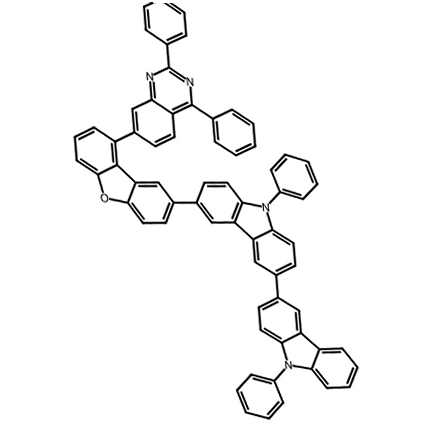 c1ccc(-c2nc(-c3ccccc3)c3ccc(-c4cccc5oc6ccc(-c7ccc8c(c7)c7cc(-c9ccc%10c(c9)c9ccccc9n%10-c9ccccc9)ccc7n8-c7ccccc7)cc6c45)cc3n2)cc1